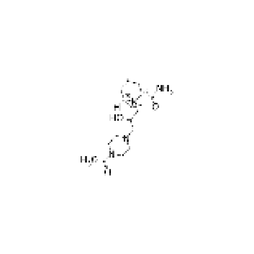 CC(=O)N1CCN(CC(O)CN2[C@@H]3C[CH]C[C@@]2(C(N)=O)CC3)CC1